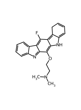 CN(C)CCOc1c2c(c(F)c3c4c([nH]c13)=CC=CC4)-c1ccccc1N=2